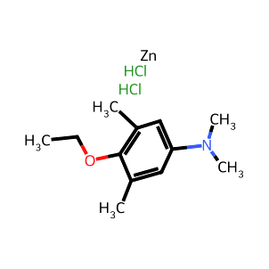 CCOc1c(C)cc(N(C)C)cc1C.Cl.Cl.[Zn]